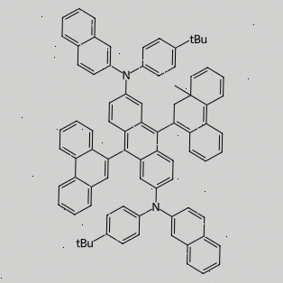 CC12C=CC=CC1=c1ccccc1=C(c1c3cc(N(c4ccc(C(C)(C)C)cc4)c4ccc5ccccc5c4)ccc3c(-c3cc4ccccc4c4ccccc34)c3cc(N(c4ccc(C(C)(C)C)cc4)c4ccc5ccccc5c4)ccc13)C2